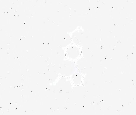 COc1ccc([SH]2C=CC=C2C=O)cc1